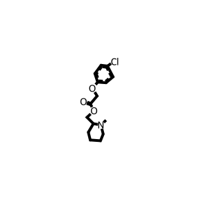 CN1CCCCC1COC(=O)COc1ccc(Cl)cc1